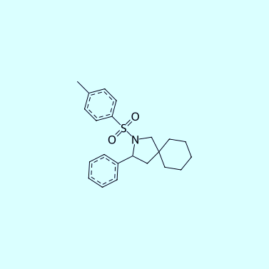 Cc1ccc(S(=O)(=O)N2CC3(CCCCC3)CC2c2ccccc2)cc1